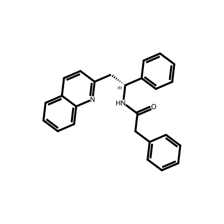 O=C(Cc1ccccc1)N[C@H](Cc1ccc2ccccc2n1)c1ccccc1